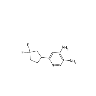 Nc1cnc(C2CCC(F)(F)C2)cc1N